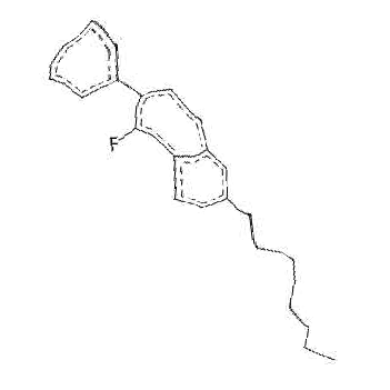 CCCCCCCc1ccc2c(F)c(-c3ccccc3)ccc2c1